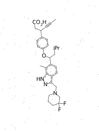 CC#CC(CC(=O)O)c1ccc(OC(CC(C)C)c2ccc3c(CN4CCCC(F)(F)C4)n[nH]c3c2C)cc1